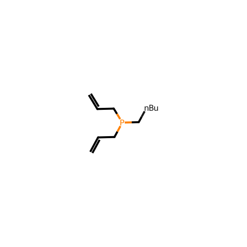 C=CCP(CC=C)CCCCC